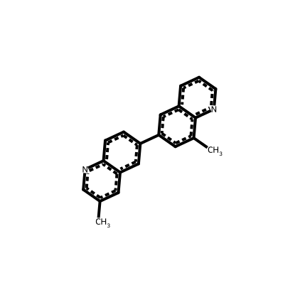 Cc1cnc2ccc(-c3cc(C)c4ncccc4c3)cc2c1